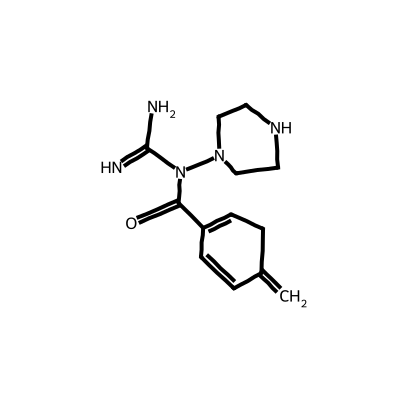 C=C1C=CC(C(=O)N(C(=N)N)N2CCNCC2)=CC1